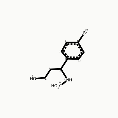 O=C(O)NC(CCO)c1ccc(Br)cc1